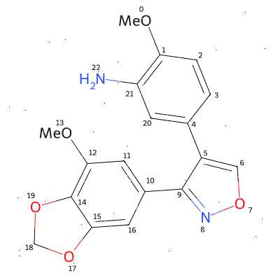 COc1ccc(-c2conc2-c2cc(OC)c3c(c2)OCO3)cc1N